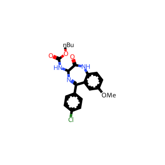 CCCCOC(=O)NC1N=C(c2ccc(Cl)cc2)c2cc(OC)ccc2NC1=O